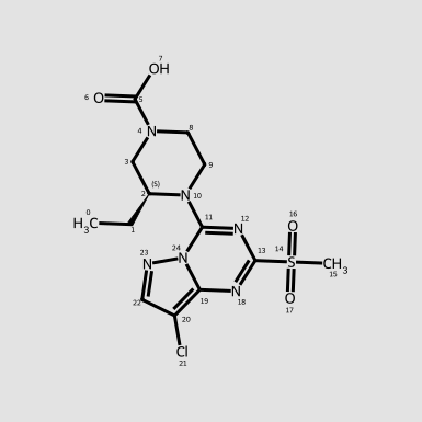 CC[C@H]1CN(C(=O)O)CCN1c1nc(S(C)(=O)=O)nc2c(Cl)cnn12